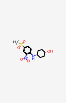 CS(=O)(=O)c1ccc(N[C@H]2CC[C@H](O)CC2)c([N+](=O)[O-])c1